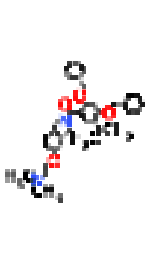 C=C(C)c1cc(C(=O)N2Cc3ccc(OCCN(C)C)cc3C2)c(OCc2ccccc2)cc1OCc1ccccc1